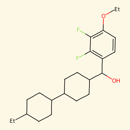 CCOc1ccc(C(O)C2CCC(C3CCC(CC)CC3)CC2)c(F)c1F